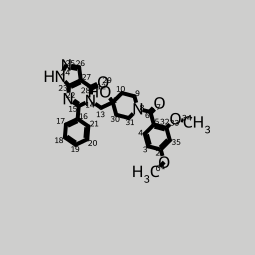 COc1ccc(C(=O)N2CCC(O)(Cn3c(-c4ccccc4)nc4[nH]ncc4c3=O)CC2)c(OC)c1